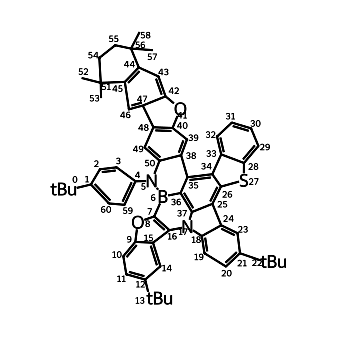 CC(C)(C)c1ccc(N2B3c4oc5ccc(C(C)(C)C)cc5c4-n4c5ccc(C(C)(C)C)cc5c5c6sc7ccccc7c6c(c3c54)-c3cc4oc5cc6c(cc5c4cc32)C(C)(C)CCC6(C)C)cc1